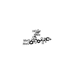 CNC(=O)C[C@@H](NC(=O)c1ccc(OC)c(OC)c1)c1cccc(C(=O)Nc2nc3c(s2)CN(C)CC3)c1.O=C(O)C(F)(F)F